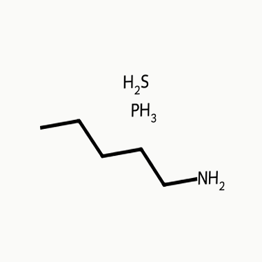 CCCCCN.P.S